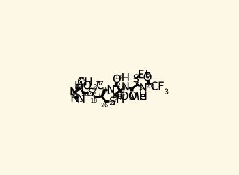 CCSC(NC(=O)C(F)(F)F)C(=O)N[C@]1(OC)C(=O)N2C(C(=O)O)=C(CSc3nnnn3C)CS[C@H]21